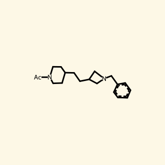 CC(=O)N1CCC(CCC2CN(Cc3ccccc3)C2)CC1